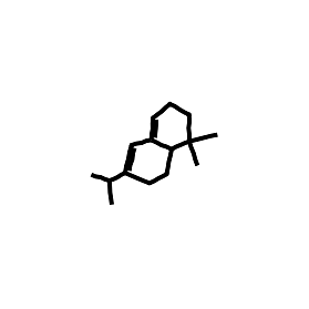 CC(C)C1=CC2=CCCC(C)(C)C2CC1